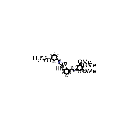 C=CCOc1cccc(/C=C/C(=O)Nc2cccc(/C=C/c3cc(OC)c(OC)c(OC)c3)c2)c1